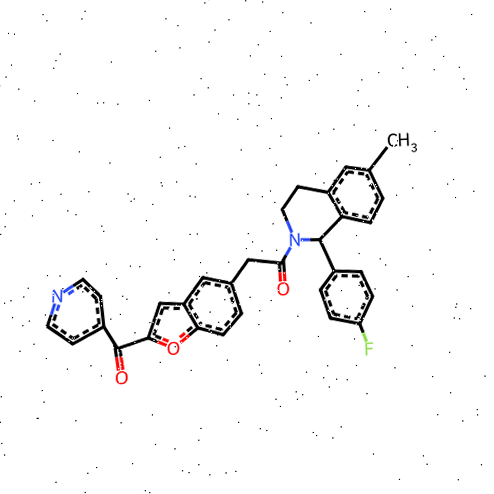 Cc1ccc2c(c1)CCN(C(=O)Cc1ccc3oc(C(=O)c4ccncc4)cc3c1)C2c1ccc(F)cc1